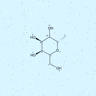 C[C@@H]1OC(CO)[C@@H](O)[C@@H](O)C1O